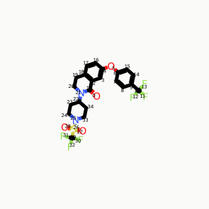 O=C1c2cc(Oc3ccc(C(F)(F)F)cc3)ccc2CCN1C1CCN(S(=O)(=O)C(F)(F)F)CC1